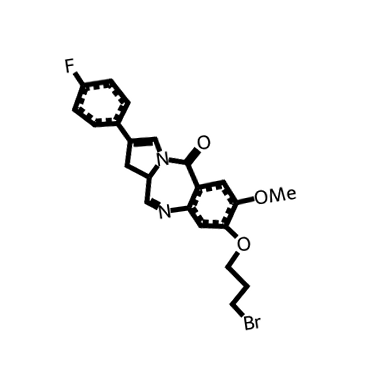 COc1cc2c(cc1OCCCBr)N=CC1CC(c3ccc(F)cc3)=CN1C2=O